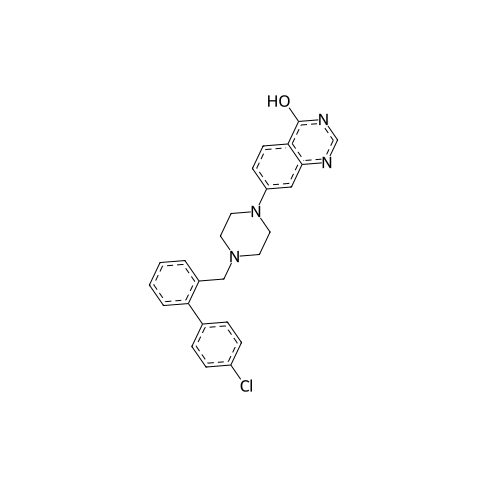 Oc1ncnc2cc(N3CCN(Cc4ccccc4-c4ccc(Cl)cc4)CC3)ccc12